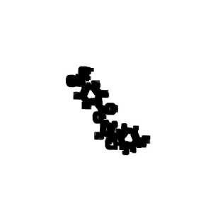 C[C@]1(c2ccc(F)cc2)C[C@H](OC(=O)c2ccc([N+](=O)[O-])cc2)C1